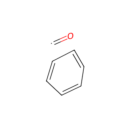 [CH]=O.c1ccccc1